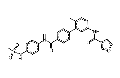 Cc1ccc(NC(=O)c2ccoc2)cc1-c1ccc(C(=O)Nc2ccc(NS(C)(=O)=O)cc2)cc1